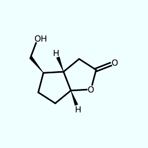 O=C1C[C@H]2[C@H](CO)CC[C@H]2O1